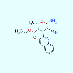 CCOC(=O)C1=C(C)OC(N)=C(C#N)C1c1ccc2ccccc2n1